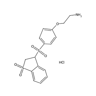 Cl.NCCOc1ccc(S(=O)(=O)C2CS(=O)(=O)c3ccccc32)cc1